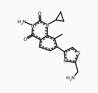 Cc1c(-c2csc(CN)n2)ccc2c(=O)n(N)c(=O)n(C3CC3)c12